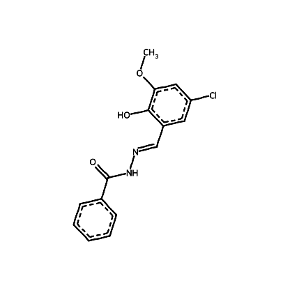 COc1cc(Cl)cc(C=NNC(=O)c2ccccc2)c1O